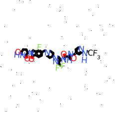 O=C1CCC(N2Cc3c(ccc(CN4CCC(n5cc(NC(=O)c6coc(-c7ccnc(NCC(F)(F)F)c7)n6)c(C(F)F)n5)CC4)c3F)C2=O)C(=O)N1